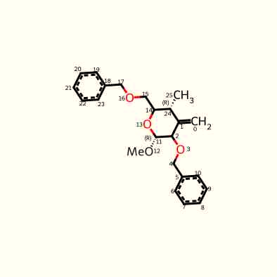 C=C1C(OCc2ccccc2)[C@H](OC)OC(COCc2ccccc2)[C@@H]1C